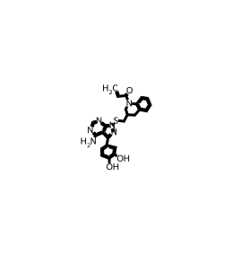 C=CC(=O)N1CC(CSn2nc(-c3ccc(O)c(O)c3)c3c(N)ncnc32)Cc2ccccc21